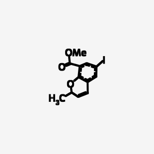 COC(=O)c1cc(I)cc2c1OC(C)C=C2